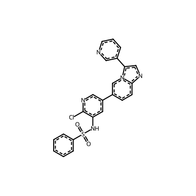 O=S(=O)(Nc1cc(-c2ccc3ncc(-c4cccnc4)n3c2)cnc1Cl)c1ccccc1